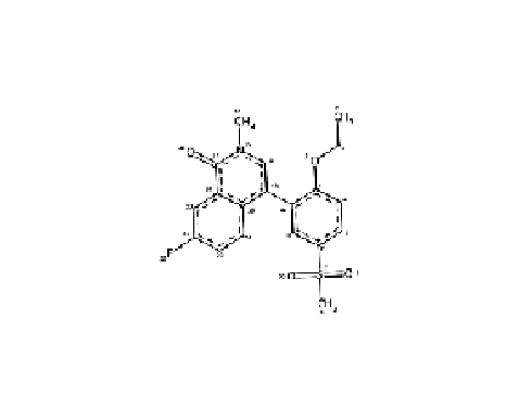 CCOc1ccc(S(C)(=O)=O)cc1-c1cn(C)c(=O)c2cc(F)ccc12